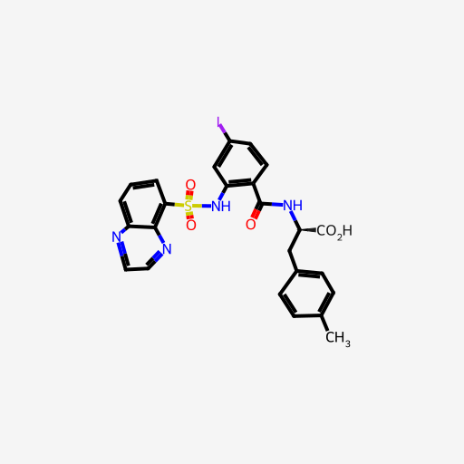 Cc1ccc(C[C@@H](NC(=O)c2ccc(I)cc2NS(=O)(=O)c2cccc3nccnc23)C(=O)O)cc1